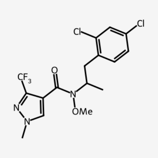 CON(C(=O)c1cn(C)nc1C(F)(F)F)C(C)Cc1ccc(Cl)cc1Cl